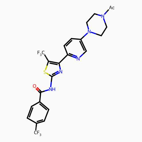 CC(=O)N1CCN(c2ccc(-c3nc(NC(=O)c4ccc(C(F)(F)F)cc4)sc3C(F)(F)F)nc2)CC1